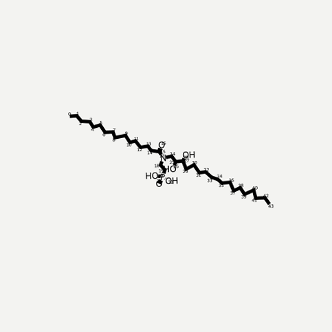 CCCCCCCCCCCCCCCC(=O)N(CCP(=O)(O)O)CC(O)C(O)CCCCCCCCCCCCCCC